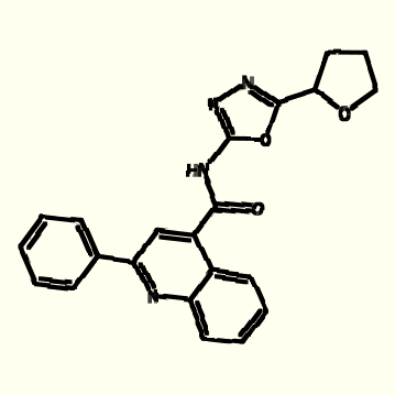 O=C(Nc1nnc(C2CCCO2)o1)c1cc(-c2ccccc2)nc2ccccc12